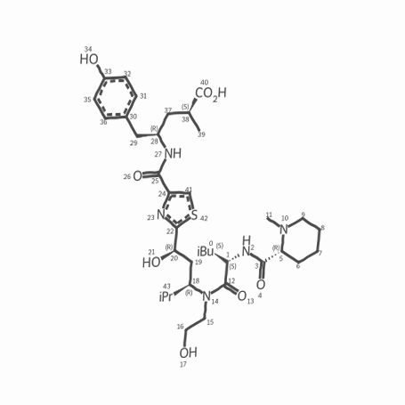 CC[C@H](C)[C@H](NC(=O)[C@H]1CCCCN1C)C(=O)N(CCO)[C@H](C[C@@H](O)c1nc(C(=O)N[C@@H](Cc2ccc(O)cc2)C[C@H](C)C(=O)O)cs1)C(C)C